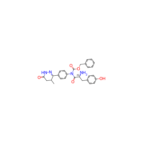 CC1CC(=O)NN=C1c1ccc(N(C(=O)OCc2ccccc2)C(=O)[C@@H](N)Cc2ccc(O)cc2)cc1